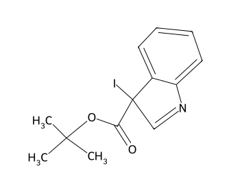 CC(C)(C)OC(=O)C1(I)C=Nc2ccccc21